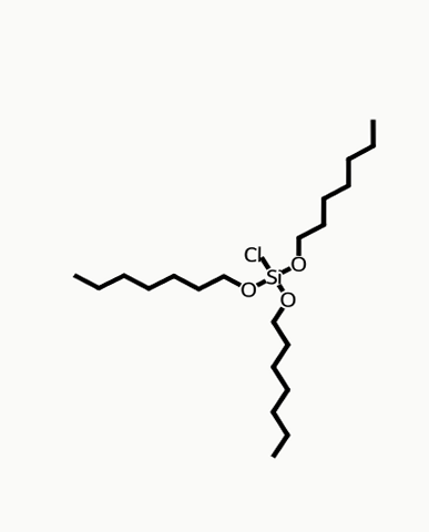 CCCCCCCO[Si](Cl)(OCCCCCCC)OCCCCCCC